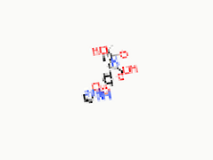 C[C@@H](O)[C@H]1C(=O)N2C(C(=O)O)=C(c3ccc(OC(=O)Nc4ccc[nH]4)cc3)C[C@H]12